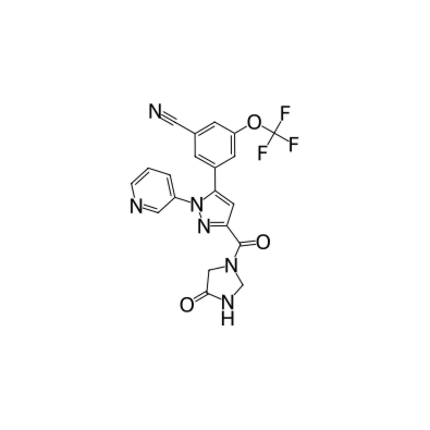 N#Cc1cc(OC(F)(F)F)cc(-c2cc(C(=O)N3CNC(=O)C3)nn2-c2cccnc2)c1